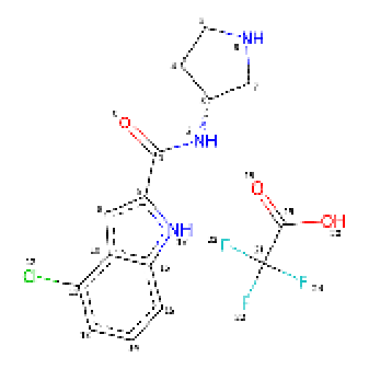 O=C(N[C@@H]1CCNC1)c1cc2c(Cl)cccc2[nH]1.O=C(O)C(F)(F)F